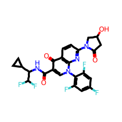 O=C(NC(C(F)F)C1CC1)c1cn(-c2c(F)cc(F)cc2F)c2nc(N3CC(O)CC3=O)ccc2c1=O